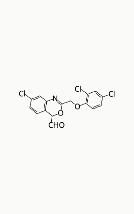 O=CC1OC(COc2ccc(Cl)cc2Cl)=Nc2cc(Cl)ccc21